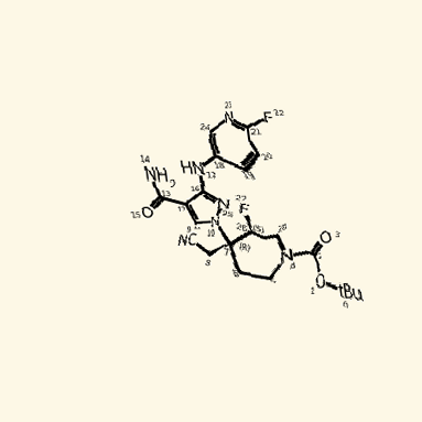 CC(C)(C)OC(=O)N1CC[C@](CC#N)(n2cc(C(N)=O)c(Nc3ccc(F)nc3)n2)[C@@H](F)C1